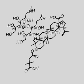 C=C(C)[C@@H]1CC[C@]2(C(=O)O)CC[C@]3(C)[C@H](CC[C@@H]4[C@@]5(C)CC[C@H](OC(=O)CC(C)(C)C(=O)O)C(C)(C)[C@@H]5CC[C@]43C)[C@@H]12.CNC[C@H](O)[C@@H](O)[C@H](O)[C@H](O)CO.CNC[C@H](O)[C@@H](O)[C@H](O)[C@H](O)CO